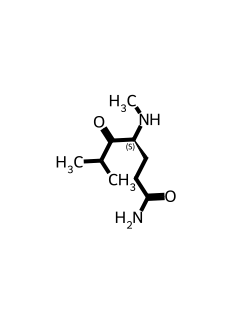 CN[C@@H](CCC(N)=O)C(=O)C(C)C